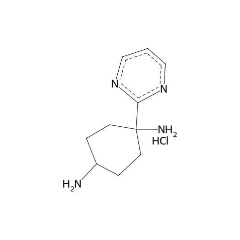 Cl.NC1CCC(N)(c2ncccn2)CC1